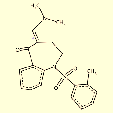 Cc1ccccc1S(=O)(=O)N1CC/C(=C\N(C)C)C(=O)c2ccccc21